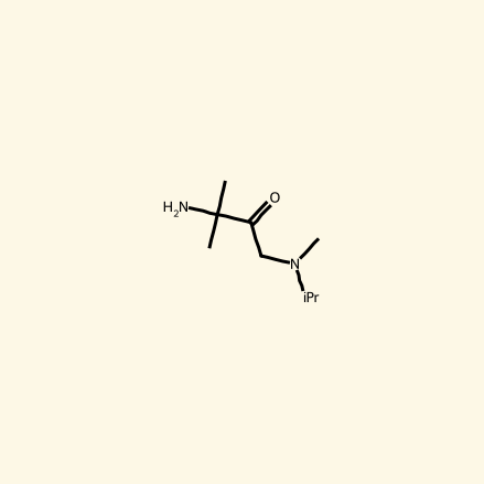 CC(C)N(C)CC(=O)C(C)(C)N